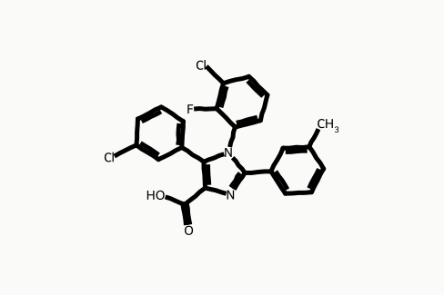 Cc1cccc(-c2nc(C(=O)O)c(-c3cccc(Cl)c3)n2-c2cccc(Cl)c2F)c1